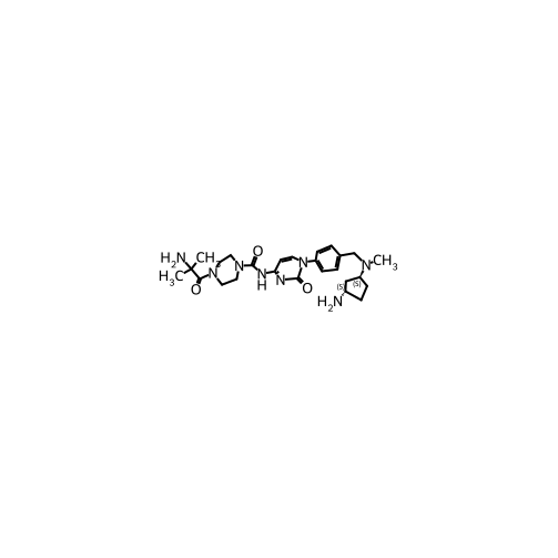 CN(Cc1ccc(-n2ccc(NC(=O)N3CCN(C(=O)C(C)(C)N)CC3)nc2=O)cc1)[C@H]1CC[C@H](N)C1